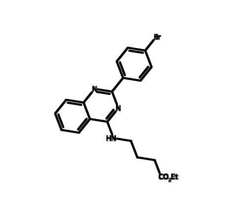 CCOC(=O)CCCNc1nc(-c2ccc(Br)cc2)nc2ccccc12